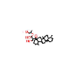 CC(CO)OC(O)C(CO)C(=O)C12CCCC(C)C1C1=CCC3C(C)(CCC4C(C)CCCC43C)C1CC2